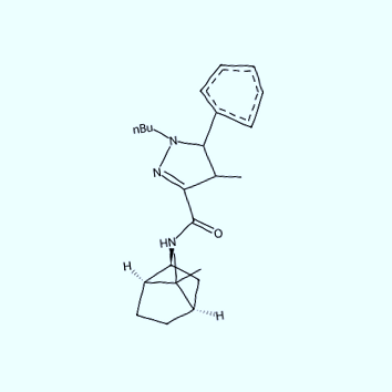 CCCCN1N=C(C(=O)N[C@H]2C[C@H]3CC[C@@H]2C3(C)C)C(C)C1c1ccccc1